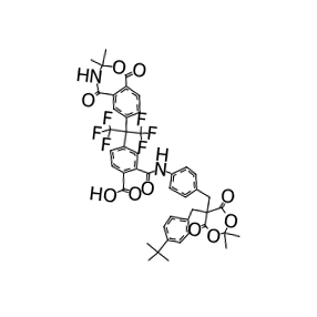 CC1(C)NC(=O)c2cc(C(c3ccc(C(=O)O)c(C(=O)Nc4ccc(CC5(Cc6ccc(C(C)(C)C)cc6)C(=O)OC(C)(C)OC5=O)cc4)c3)(C(F)(F)F)C(F)(F)F)ccc2C(=O)O1